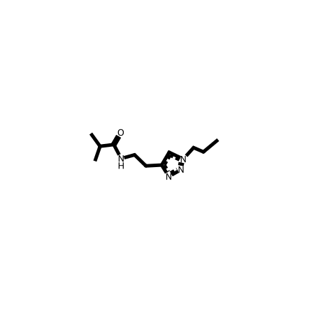 CCCn1cc(CCNC(=O)C(C)C)nn1